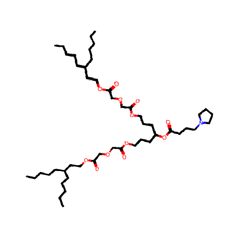 CCCCCC(CCCCC)CCOC(=O)COCC(=O)OCCCC(CCCOC(=O)COCC(=O)OCCC(CCCCC)CCCCC)OC(=O)CCCN1CCCC1